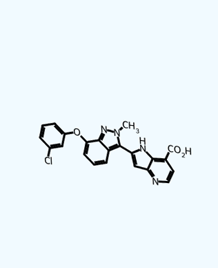 Cn1nc2c(Oc3cccc(Cl)c3)cccc2c1-c1cc2nccc(C(=O)O)c2[nH]1